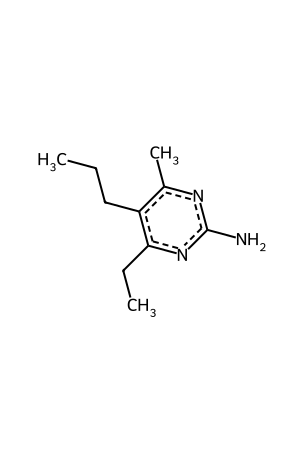 CCCc1c(C)nc(N)nc1CC